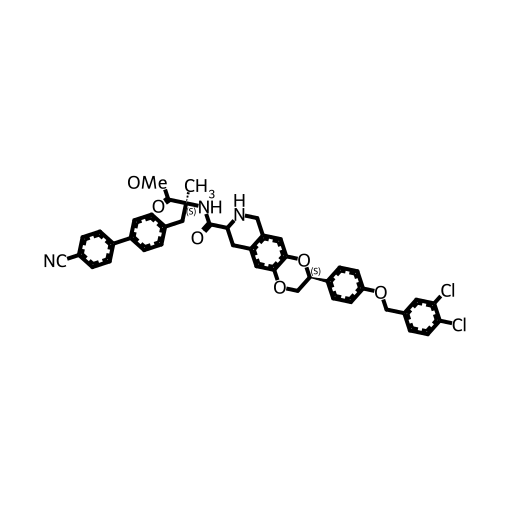 COC(=O)[C@](C)(Cc1ccc(-c2ccc(C#N)cc2)cc1)NC(=O)C1Cc2cc3c(cc2CN1)O[C@@H](c1ccc(OCc2ccc(Cl)c(Cl)c2)cc1)CO3